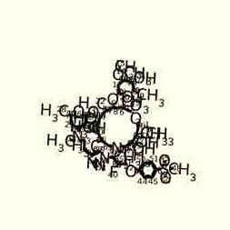 CC[C@H]1OC(=O)[C@H](C)[C@@H](O[C@H]2C[C@@](C)(OC)[C@@H](O)[C@H](C)O2)[C@H](C)[C@@H](O[C@@H]2O[C@H](C)C[C@H](N(C)CCc3cn(C[C@H](F)COc4ccc(S(C)(=O)=O)cc4)nn3)[C@H]2O)[C@](C)(O)C[C@@H](C)CN(C)[C@H](C)[C@@H](O)[C@]1(C)O